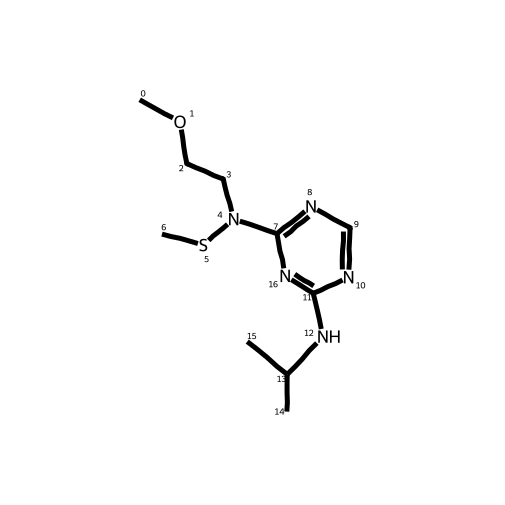 COCCN(SC)c1ncnc(NC(C)C)n1